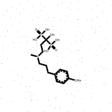 COc1ccc(CCCN(C)CCC(O)(P(=O)(O)O)P(=O)(O)O)cc1